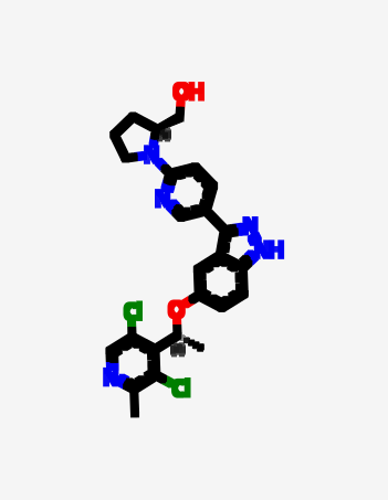 Cc1ncc(Cl)c([C@@H](C)Oc2ccc3[nH]nc(-c4ccc(N5CCC[C@H]5CO)nc4)c3c2)c1Cl